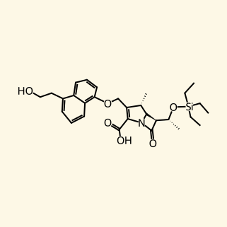 CC[Si](CC)(CC)O[C@H](C)[C@H]1C(=O)N2C(C(=O)O)=C(COc3cccc4c(CCO)cccc34)[C@H](C)C12